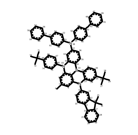 Cc1cc2c3c(c1)N(c1ccc4c(c1)C(C)(C)c1ccccc1-4)c1cc(C(C)(C)C)ccc1B3c1ccc(N(c3ccc(-c4ccccc4)cc3)c3ccc(-c4ccccc4)cc3)cc1N2c1ccc(C(C)(C)C)cc1